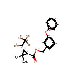 CC1(C)[C@H](C(=O)OCc2cccc(Oc3ccccc3)c2)[C@H]1C(Br)C(Br)(Br)Br